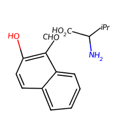 CC(C)C(N)C(=O)O.O=Cc1c(O)ccc2ccccc12